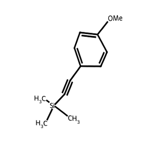 COc1ccc(C#C[Si](C)(C)C)cc1